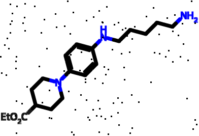 CCOC(=O)C1CCN(c2ccc(NCCCCCN)cc2)CC1